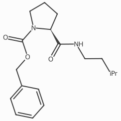 CC(C)CCNC(=O)[C@@H]1CCCN1C(=O)OCc1ccccc1